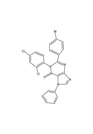 O=c1c2c(ncn2-c2ccccc2)nc(-c2ccc(Br)cc2)n1-c1ccc(Cl)cc1Cl